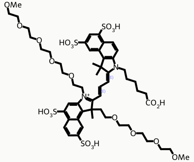 COCCOCCOCCOCCOCC[N+]1=C(/C=C/C=C2/N(CCCCCC(=O)O)c3ccc4c(S(=O)(=O)O)cc(S(=O)(=O)O)cc4c3C2(C)C)C(C)(CCOCCOCCOCCOC)c2c1cc(S(=O)(=O)O)c1ccc(S(=O)(=O)O)cc21